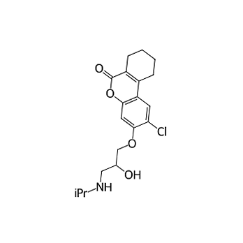 CC(C)NCC(O)COc1cc2oc(=O)c3c(c2cc1Cl)CCCC3